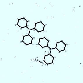 C1CCC(P(C2CCCCC2)C2CCCCC2)CC1.C1CCC(P(C2CCCCC2)C2CCCCC2)CC1.CC(=O)O